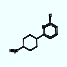 O=C(O)C1CCC(c2cccc(Cl)n2)CC1